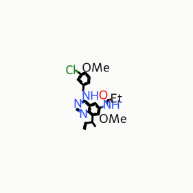 C=CC(C)c1c(OC)c(NC(=O)CC)cc2c(NCc3ccc(OC)c(Cl)c3)ncnc12